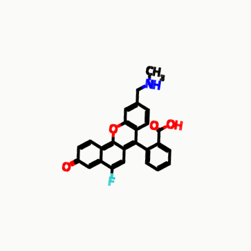 CNCc1ccc2c(-c3ccccc3C(=O)O)c3cc(F)c4cc(=O)ccc4c3oc2c1